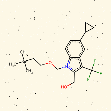 C[Si](C)(C)CCOCn1c(CO)c(C(F)(F)F)c2cc(C3CC3)ccc21